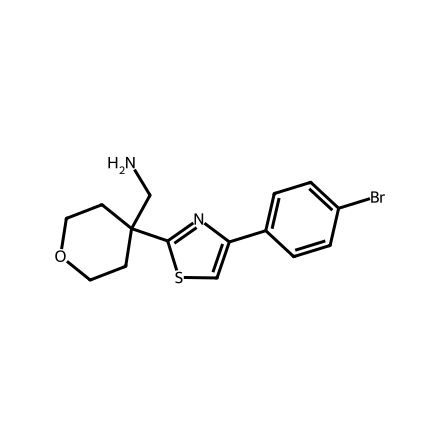 NCC1(c2nc(-c3ccc(Br)cc3)cs2)CCOCC1